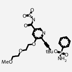 COCCOCCOc1cc(C(=O)N=S(=O)=O)cnc1C#CC(C)(C)C.NS(=O)(=O)c1ccccc1